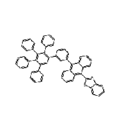 c1ccc(-c2cc(-c3cccc(-c4c5ccccc5c(-c5nc6ccccc6s5)c5ccccc45)c3)c(-c3ccccc3)c(-c3ccccc3)c2-c2ccccc2)cc1